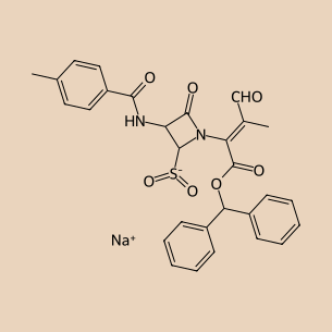 CC(C=O)=C(C(=O)OC(c1ccccc1)c1ccccc1)N1C(=O)C(NC(=O)c2ccc(C)cc2)C1[S-](=O)=O.[Na+]